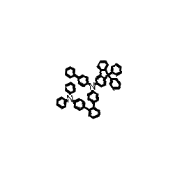 c1ccc(-c2ccc(N(c3ccc(-c4ccccc4-c4ccc(N(c5ccccc5)c5ccccc5)cc4)cc3)c3ccc4c(c3)-c3ccccc3C4(c3ccccc3)c3ccccc3)cc2)cc1